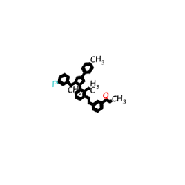 C=C(c1cccc(F)c1)C1C=C(c2ccc(C)cc2)CC1c1cccc(CCc2cccc(C(=O)CC)c2)c1CC